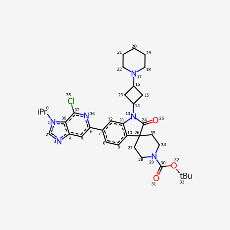 CC(C)n1cnc2cc(-c3ccc4c(c3)N(C3CC(N5CCCCC5)C3)C(=O)C43CCN(C(=O)OC(C)(C)C)CC3)nc(Cl)c21